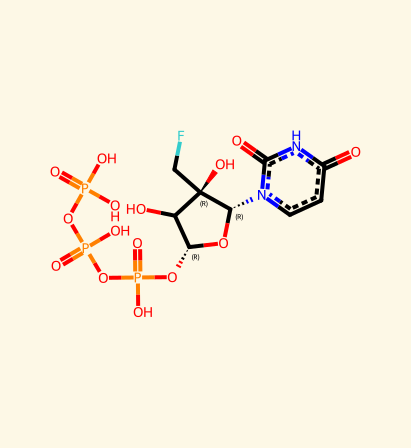 O=c1ccn([C@@H]2O[C@H](OP(=O)(O)OP(=O)(O)OP(=O)(O)O)C(O)[C@]2(O)CF)c(=O)[nH]1